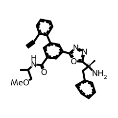 C#Cc1ccccc1-c1cc(C(=O)NC(C)COC)cc(-c2nnc([C@](C)(N)Cc3ccccc3)o2)c1